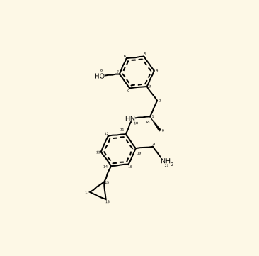 C[C@H](Cc1cccc(O)c1)Nc1ccc(C2CC2)cc1CN